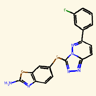 Nc1nc2ccc(Sc3nnc4ccc(-c5cccc(F)c5)nn34)cc2s1